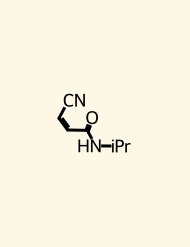 CC(C)NC(=O)/C=C\C#N